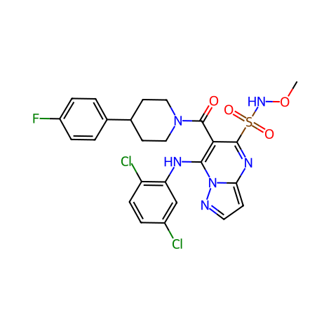 CONS(=O)(=O)c1nc2ccnn2c(Nc2cc(Cl)ccc2Cl)c1C(=O)N1CCC(c2ccc(F)cc2)CC1